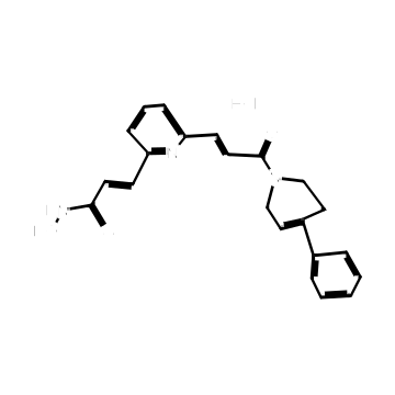 Cl.O=C(C=Cc1cccc(C=CC(=O)N2CC=C(c3ccccc3)CC2)n1)NO